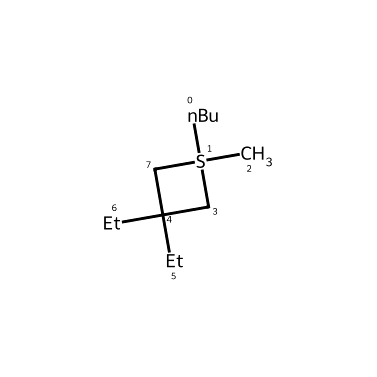 CCCCS1(C)CC(CC)(CC)C1